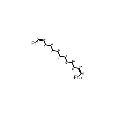 CC/C=C\CCCCCCCCC/C=C\CC